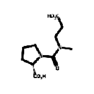 CN(CCC(=O)O)C(=O)N1CCC[C@H]1C(=O)O